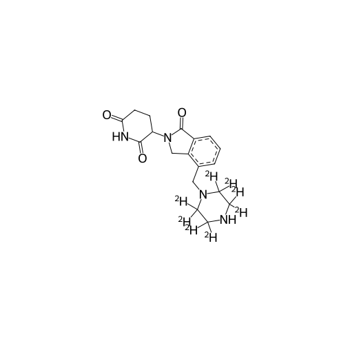 [2H]C1([2H])NC([2H])([2H])C([2H])([2H])N(Cc2cccc3c2CN(C2CCC(=O)NC2=O)C3=O)C1([2H])[2H]